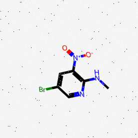 CNc1ncc(Br)cc1[N+](=O)[O-]